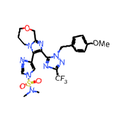 COc1ccc(Cn2nc(C(F)(F)F)nc2-c2nc3n(c2-c2cn(S(=O)(=O)N(C)C)cn2)CCCOC3)cc1